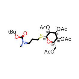 CC(=O)OC[C@@H]1O[C@H](SCCCN(C)C(=O)OC(C)(C)C)[C@H](OC(C)=O)[C@@H](OC(C)=O)[C@@H]1OC(C)=O